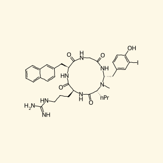 CCC[C@@H]1C(=O)N[C@@H](CCCNC(=N)N)C(=O)N[C@@H](Cc2ccc3ccccc3c2)C(=O)NCC(=O)N[C@H](Cc2ccc(O)c(I)c2)N1C